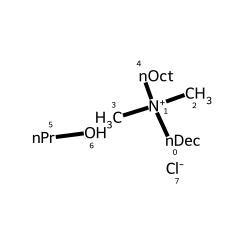 CCCCCCCCCC[N+](C)(C)CCCCCCCC.[CH2]CCO.[Cl-]